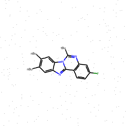 CCCCc1cc2nc3c4ccc(F)cc4nc(C(C)(C)C)n3c2cc1CCCC